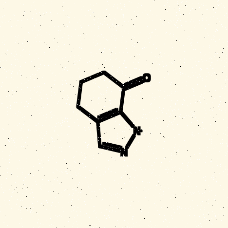 O=C1CCCC2=C1[N]N=C2